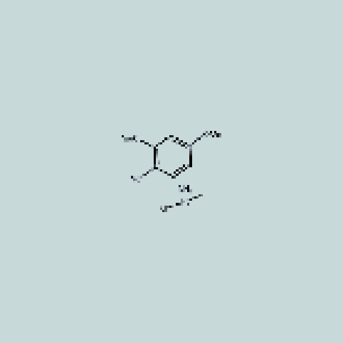 COc1ccc(C#N)c(OC)c1.N.[Cl][Pt][Cl]